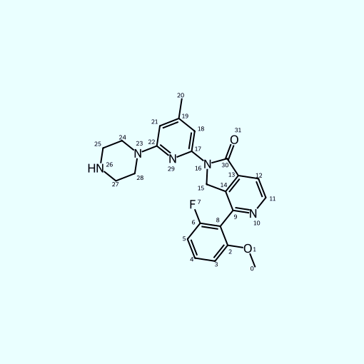 COc1cccc(F)c1-c1nccc2c1CN(c1cc(C)cc(N3CCNCC3)n1)C2=O